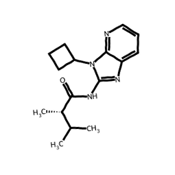 CC(C)[C@H](C)C(=O)Nc1nc2cccnc2n1C1CCC1